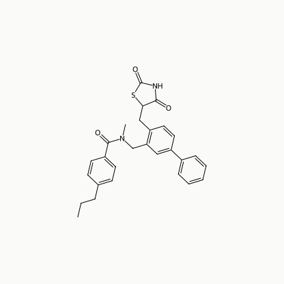 CCCc1ccc(C(=O)N(C)Cc2cc(-c3ccccc3)ccc2CC2SC(=O)NC2=O)cc1